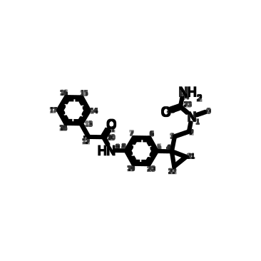 CN(CCC1(c2ccc(NC(=O)[CH]c3ccccc3)cc2)CC1)C(N)=O